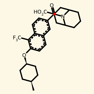 C[C@H]1CC[C@@H](Oc2ccc3cc(C(=O)N4C5CCCC4CC(C(=O)O)C5)ccc3c2C(F)(F)F)CC1